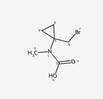 CN(C(=O)O)C1(CBr)CC1